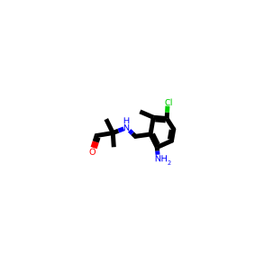 Cc1c(Cl)ccc(N)c1CNC(C)(C)C=O